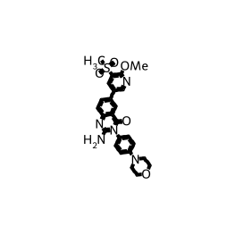 COc1ncc(-c2ccc3nc(N)n(-c4ccc(N5CCOCC5)cc4)c(=O)c3c2)cc1S(C)(=O)=O